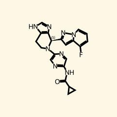 O=C(Nc1cnc(N2CCc3[nH]cnc3[C@H]2c2cc3c(F)cccn3n2)cn1)C1CC1